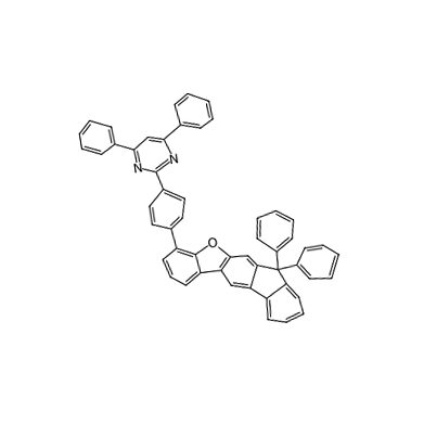 c1ccc(-c2cc(-c3ccccc3)nc(-c3ccc(-c4cccc5c4oc4cc6c(cc45)-c4ccccc4C6(c4ccccc4)c4ccccc4)cc3)n2)cc1